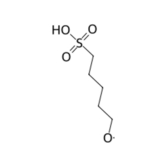 [O]CCCCCS(=O)(=O)O